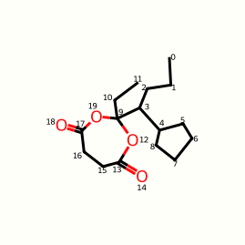 CCCC(C1CCCC1)C1(CC)OC(=O)CCC(=O)O1